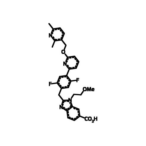 COCCn1c(Cc2cc(F)c(-c3cccc(OCc4ccc(C)nc4C)n3)cc2F)nc2ccc(C(=O)O)cc21